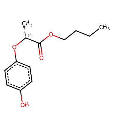 CCCCOC(=O)[C@@H](C)Oc1ccc(O)cc1